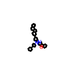 c1ccc(-c2ccc(N(c3ccc(-c4ccc5c(ccc6c7ccccc7ccc56)c4)cc3)c3cc4oc5ccccc5c4cn3)cc2)cc1